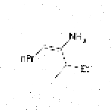 CCC/C=C(/N)C(C)CC